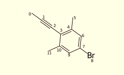 CC#Cc1c(C)cc(Br)cc1C